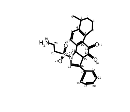 CC1CCCc2c1ccc1c2C(=O)C(=O)C2C(c3ccccc3)=CN(S(=O)(=O)CCN)C12